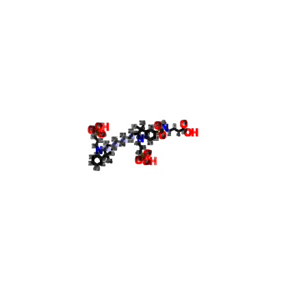 CN(CCCC(=O)O)S(=O)(=O)c1ccc2c(c1)C(C)(C)C(/C=C/C=C/C=C/C=C1/N(CCCS(=O)(=O)O)c3ccccc3C1(C)C)=[N+]2CCCS(=O)(=O)O